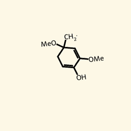 [CH2]C1(OC)C=C(OC)C(O)=CC1